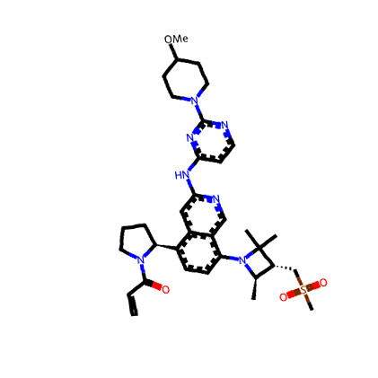 C=CC(=O)N1CCC[C@H]1c1ccc(N2[C@H](C)[C@@H](CS(C)(=O)=O)C2(C)C)c2cnc(Nc3ccnc(N4CCC(OC)CC4)n3)cc12